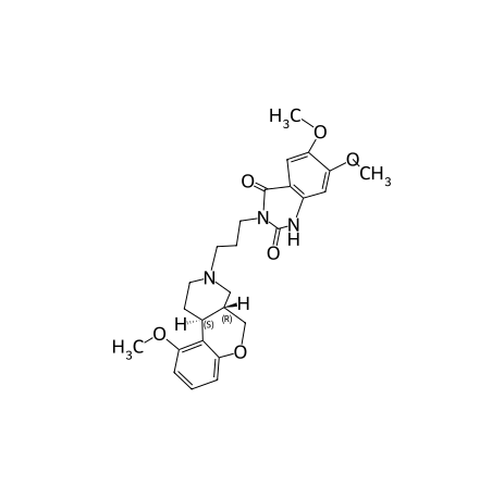 COc1cc2[nH]c(=O)n(CCCN3CC[C@@H]4c5c(OC)cccc5OC[C@H]4C3)c(=O)c2cc1OC